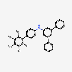 [2H]c1c([2H])c([2H])c(-c2ccc(Nc3cc(-c4ccccc4)cc(-c4ccccc4)c3)cc2)c([2H])c1[2H]